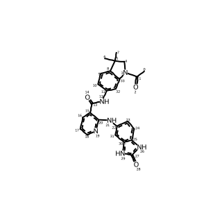 CC(=O)N1CC(C)(C)c2ccc(NC(=O)c3cccnc3Nc3ccc4[nH]c(=O)[nH]c4c3)cc21